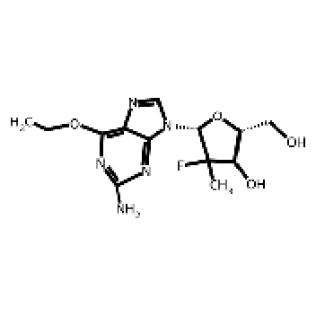 CCOc1nc(N)nc2c1ncn2[C@@H]1O[C@H](CO)C(O)C1(C)F